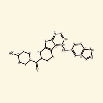 O=C(C1CCc2c(sc3ncnc(Nc4ccc5[nH]ncc5c4)c23)C1)N1CCC(O)CC1